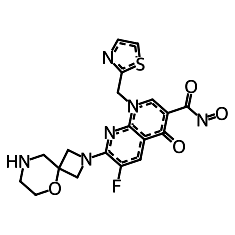 O=NC(=O)c1cn(Cc2nccs2)c2nc(N3CC4(CNCCO4)C3)c(F)cc2c1=O